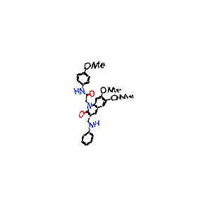 COc1ccc(NC(=O)Cn2c(=O)c(CNc3ccccc3)cc3cc(OC)c(OC)cc32)cc1